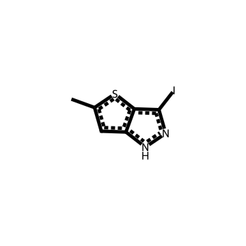 Cc1cc2[nH]nc(I)c2s1